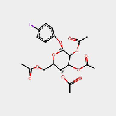 CC(=O)OCC1O[C@@H](Oc2ccc(I)cc2)C(OC(C)=O)C(OC(C)=O)[C@@H]1OC(C)=O